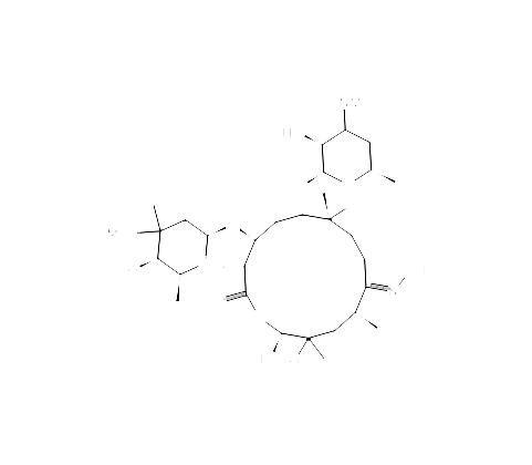 CC[C@H]1OC(=O)[C@H](C)[C@@H](O[C@@H]2CC(C)(OC)[C@H](O)[C@H](C)O2)[C@H](C)[C@H](O[C@@H]2O[C@H](C)CC(NC)[C@@H]2O)[C@](C)(O)C[C@H](C)/C(=N\O)[C@@H](C)[C@H](O)C1(C)O